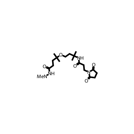 CNNC(=O)CCC(C)(C)OCCC(C)(C)NC(=O)CCN1C(=O)CCC1=O